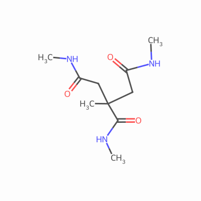 CNC(=O)CC(C)(CC(=O)NC)C(=O)NC